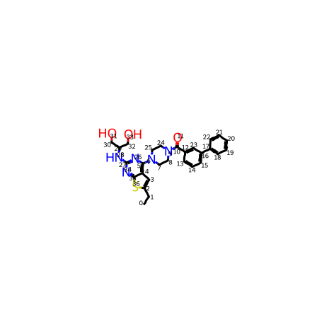 CCc1cc2c(N3CCN(C(=O)c4cccc(-c5ccccc5)c4)CC3)nc(NC(CO)CO)nc2s1